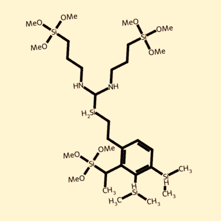 CO[Si](CCCNC(NCCC[Si](OC)(OC)OC)[SiH2]CCc1ccc([SiH](C)C)c([SiH](C)C)c1C(C)[Si](OC)(OC)OC)(OC)OC